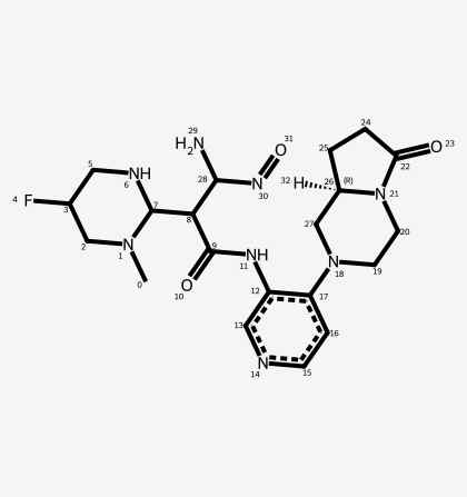 CN1CC(F)CNC1C(C(=O)Nc1cnccc1N1CCN2C(=O)CC[C@@H]2C1)C(N)N=O